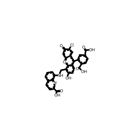 O=C(O)c1ccc(C(=O)O)c(-c2c3cc(Cl)c(=O)cc-3oc3c(CNc4cccc5ccc(C(=O)O)nc45)c(O)ccc23)c1